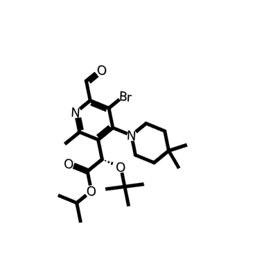 Cc1nc(C=O)c(Br)c(N2CCC(C)(C)CC2)c1[C@H](OC(C)(C)C)C(=O)OC(C)C